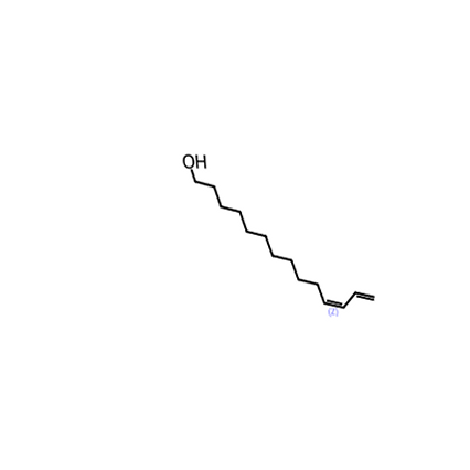 C=C/C=C\CCCCCCCCCCO